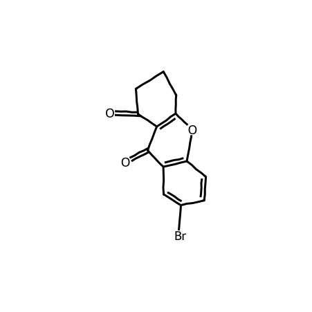 O=C1CCCc2oc3ccc(Br)cc3c(=O)c21